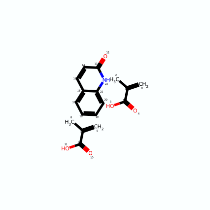 C=C(C)C(=O)O.C=C(C)C(=O)O.O=c1ccc2ccccc2[nH]1